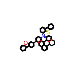 c1ccc(N(c2ccc(-c3ccc4c(c3)oc3ccccc34)cc2)c2cccc3c2sc2ccccc23)c(-c2cccc3cccc(C4CCCCC4)c23)c1